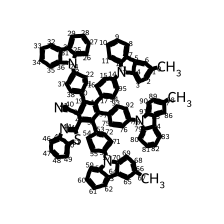 Cc1ccc2c(c1)c1ccccc1n2-c1ccc(-c2c(-c3ccc(-n4c5ccccc5c5ccccc54)cc3)c(C#N)c(-c3nc4ccccc4s3)c(-c3ccc(-n4c5ccccc5c5cc(C)ccc54)cc3)c2-c2ccc(-n3c4ccccc4c4cc(C)ccc43)cc2)cc1